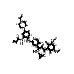 C=CC(=O)Nc1cc(N2CCN(CC)CC2)ccc1Nc1cc2c(NC3CC3)c(C(=O)c3c(F)c(OC)cc(OC)c3F)oc2cn1